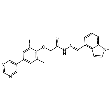 Cc1cc(-c2cncnc2)cc(C)c1OCC(=O)N/N=C/c1cccc2[nH]ccc12